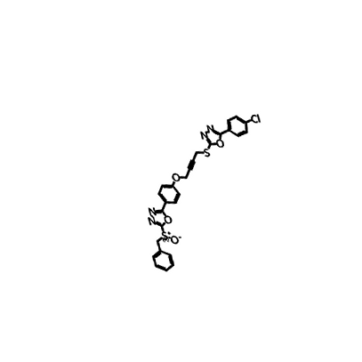 [O-][S@@+](Cc1ccccc1)c1nnc(-c2ccc(OCC#CCSc3nnc(-c4ccc(Cl)cc4)o3)cc2)o1